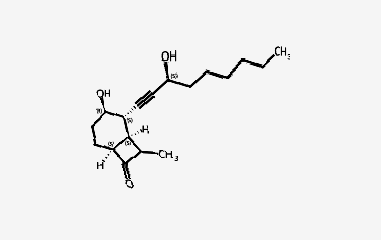 CCCCCC[C@H](O)C#C[C@@H]1[C@H]2C(C)C(=O)[C@H]2CC[C@H]1O